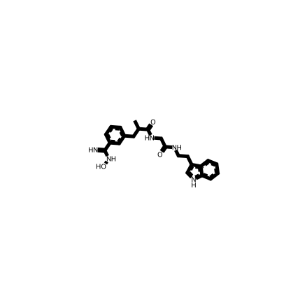 CC(Cc1cccc(C(=N)NO)c1)C(=O)NCC(=O)NCCc1c[nH]c2ccccc12